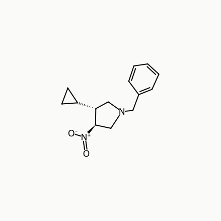 O=[N+]([O-])[C@@H]1CN(Cc2ccccc2)C[C@H]1C1CC1